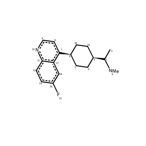 CNC(C)[C@H]1CC[C@@H](c2ccnc3ccc(F)cc32)CC1